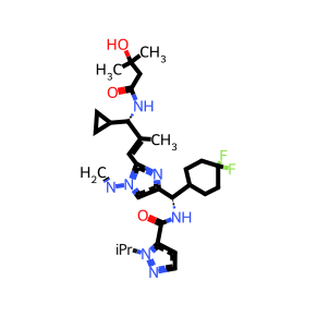 C=Nn1cc([C@@H](NC(=O)c2ccnn2C(C)C)C2CCC(F)(F)CC2)nc1/C=C(\C)[C@@H](NC(=O)CC(C)(C)O)C1CC1